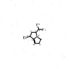 CCC1CC(C(F)F)N2CCC=C12